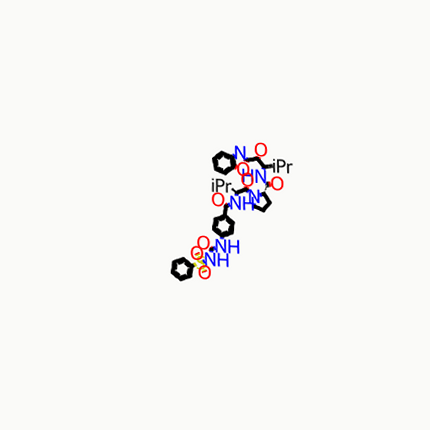 CC(C)C(NC(=O)[C@@H]1CCCN1C(=O)[C@@H](NC(=O)c1ccc(NC(=O)NS(=O)(=O)c2ccccc2)cc1)C(C)C)C(=O)c1nc2ccccc2o1